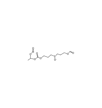 CC(ON=O)OC(=O)OCCC[S+]([O-])CCCOC=O